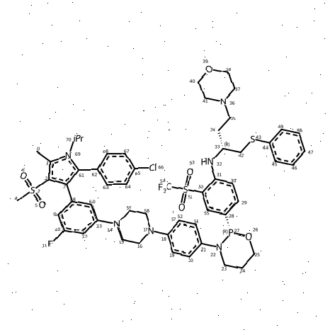 Cc1c(S(C)(=O)=O)c(-c2cc(F)cc(N3CCN(c4ccc(N5CCCO[P@@]5c5ccc(N[C@H](CCN6CCOCC6)CSc6ccccc6)c(S(=O)(=O)C(F)(F)F)c5)cc4)CC3)c2)c(-c2ccc(Cl)cc2)n1C(C)C